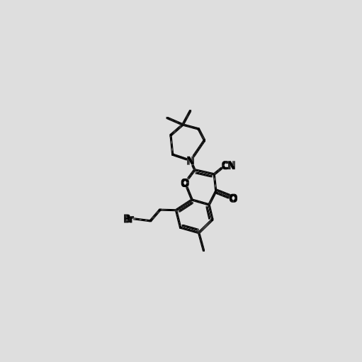 Cc1cc(CCBr)c2oc(N3CCC(C)(C)CC3)c(C#N)c(=O)c2c1